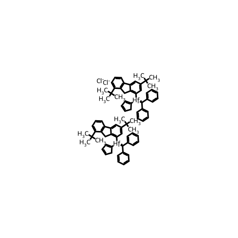 CC(C)(C)c1cc2c([c]([Hf]([C]3=CC=CC3)=[C](c3ccccc3)c3ccccc3)c1)Cc1c-2cccc1C(C)(C)C.CC(C)(C)c1cc2c([c]([Hf]([C]3=CC=CC3)=[C](c3ccccc3)c3ccccc3)c1)Cc1c-2cccc1C(C)(C)C.[Cl-].[Cl-]